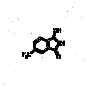 O=c1[nH]n(O)c2ccc(C(F)(F)F)cc12